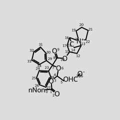 CCCCCCCCCC(=O)OC(C)OC(C(=O)OC1CC2CCC(C1)[N+]21CCCC1)(c1ccccc1)c1ccccc1.O=C[O-]